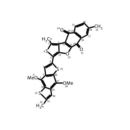 COc1c2cc(-c3sc(C)c4c5c(oc34)C(=O)c3cc(C)ccc3C5=O)sc2c(OC)c2cc(C)sc12